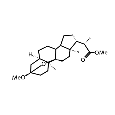 COC(=O)[C@@H](C)[C@H]1CCC2C3CC[C@@H]4C[C@@]5(OC)CC[C@]4(C)[C@]3(CC[C@@]21C)O5